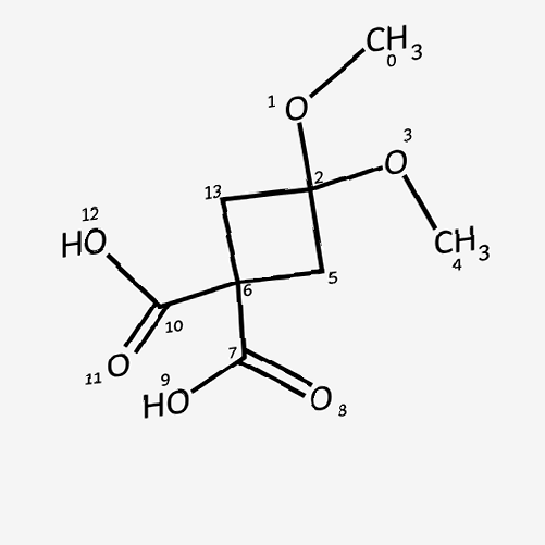 COC1(OC)CC(C(=O)O)(C(=O)O)C1